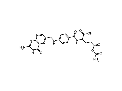 NC(=O)OC(=O)CCC(NC(=O)c1ccc(NCc2cnc3nc(N)[nH]c(=O)c3n2)cc1)C(=O)O